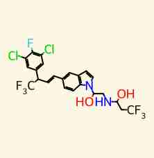 OC(CC(F)(F)F)NCC(O)n1ccc2cc(/C=C/C(c3cc(Cl)c(F)c(Cl)c3)C(F)(F)F)ccc21